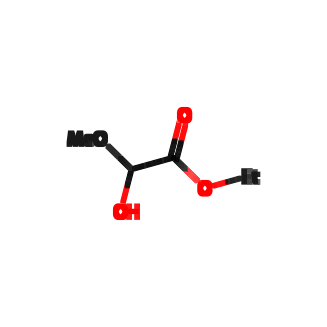 CCOC(=O)C(O)OC